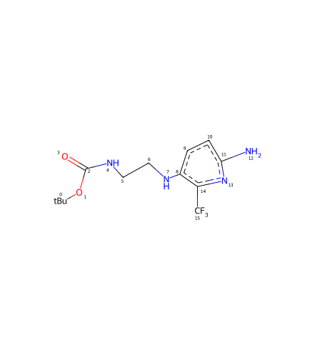 CC(C)(C)OC(=O)NCCNc1ccc(N)nc1C(F)(F)F